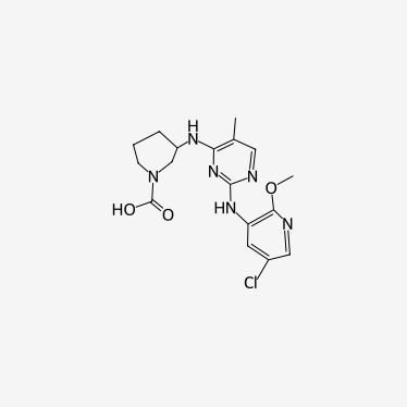 COc1ncc(Cl)cc1Nc1ncc(C)c(NC2CCCN(C(=O)O)C2)n1